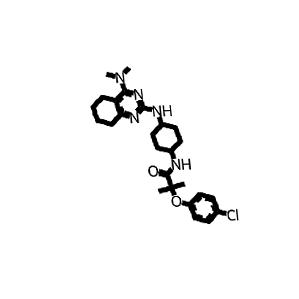 CN(C)c1nc(NC2CCC(NC(=O)C(C)(C)Oc3ccc(Cl)cc3)CC2)nc2c1CCCC2